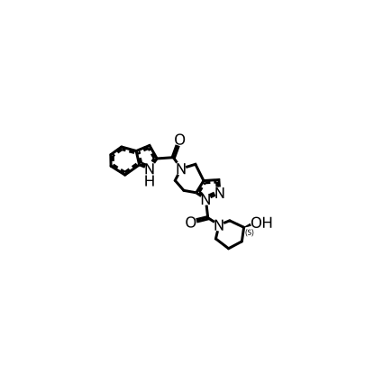 O=C(c1cc2ccccc2[nH]1)N1CCc2c(cnn2C(=O)N2CCC[C@H](O)C2)C1